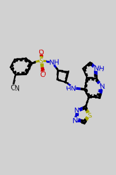 N#Cc1cccc(S(=O)(=O)NC2CC(Nc3c(-c4nncs4)cnc4[nH]ccc34)C2)c1